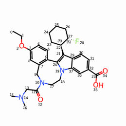 CCOc1ccc2c(c1)CN(C(=O)CN(C)C)CCn1c-2c([C@H]2CCCC[C@@H]2F)c2ccc(C(=O)O)cc21